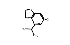 CC(N)c1cccc2c1CCO2.Cl